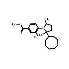 COC(=O)c1ccc(N2C(C)CCC2(C)C2CC/C=C\CCC2)c(C)c1